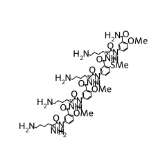 COc1ccc(NC(=O)[C@H](CCCCN)NC(=O)c2cc(NC(=O)[C@H](CCCCN)NC(=O)c3cc(NC(=O)[C@H](CCCCN)NC(=O)c4cc(NC(=O)[C@@H](N)CCCCN)ccc4OC)ccc3OC)ccc2SC)cc1C(N)=O